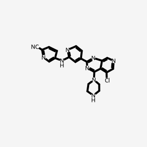 N#Cc1ccc(Nc2cc(-c3nc(N4CCNCC4)c4c(Cl)cncc4n3)ccn2)cn1